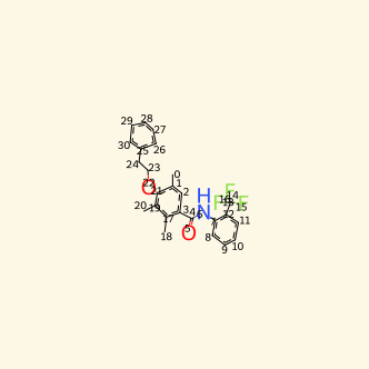 Cc1cc(C(=O)Nc2ccccc2C(F)(F)F)c(C)c(C)c1OCCc1ccccc1